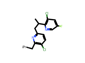 CC(C)Cc1nc(CC(C)c2ncc(F)cc2Cl)ccc1Cl